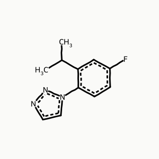 CC(C)c1cc(F)ccc1-n1ccnn1